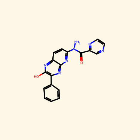 NN(C(=O)c1cnccn1)c1ccc2nc(O)c(-c3ccccc3)nc2n1